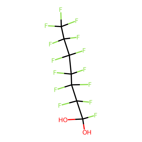 OC(O)(F)C(F)(F)C(F)(F)C(F)(F)C(F)(F)C(F)(F)C(F)(F)F